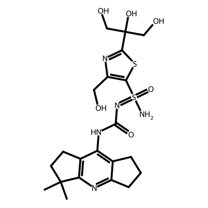 CC1(C)CCc2c1nc1c(c2NC(=O)N=S(N)(=O)c2sc(C(O)(CO)CO)nc2CO)CCC1